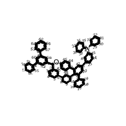 O=C(c1cccc(-c2cccc(-c3c(-c4ccccc4)cc(-c4cccc(N(c5ccccc5)c5ccccc5)c4)cc3-c3ccccc3)c2)c1)c1cc(-c2ccccc2)cc(-c2ccccc2)c1